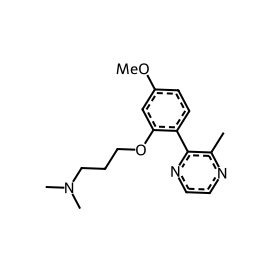 COc1ccc(-c2nccnc2C)c(OCCCN(C)C)c1